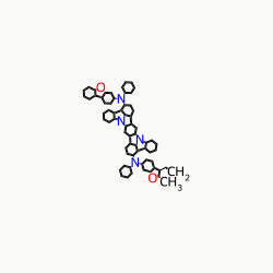 C=Cc1c(C)oc2cc(N(c3ccccc3)c3ccc4c5cc6c(cc5n5c7ccccc7c3c45)c3ccc(N(c4ccccc4)c4ccc5c(c4)oc4ccccc45)c4c5ccccc5n6c34)ccc12